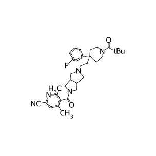 Cc1cc(C#N)nc(C)c1C(=O)N1CC2CN(CCC3(c4cccc(F)c4)CCN(C(=O)C(C)(C)C)CC3)CC2C1